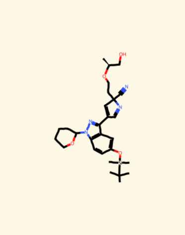 C[C@@H](CO)OCCC1(C#N)C=C(c2nn(C3CCCCO3)c3ccc(O[Si](C)(C)C(C)(C)C)cc23)C=N1